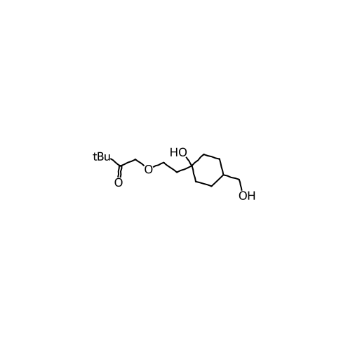 CC(C)(C)C(=O)COCCC1(O)CCC(CO)CC1